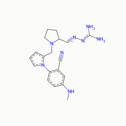 CNc1ccc(-n2cccc2CN2CCCC2/C=N/N=C(N)N)c(C#N)c1